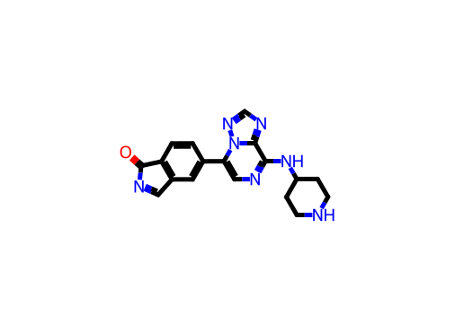 O=C1N=Cc2cc(-c3cnc(NC4CCNCC4)c4ncnn34)ccc21